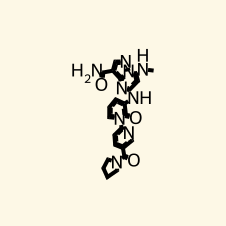 CNc1cc(Nc2cccn(-c3ccc(C(=O)N4CCCC4)cn3)c2=O)nc2c(C(N)=O)cnn12